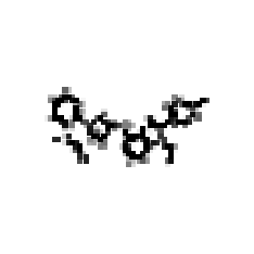 CCn1c(-c2cnc(C)nc2)nc2c(N[C@H]3C[C@H](C(=O)O)N(c4ccccn4)C3)ncnc21